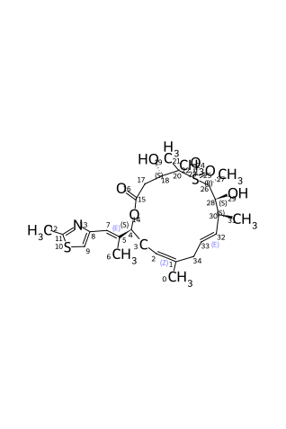 C/C1=C/C[C@@H](/C(C)=C/c2csc(C)n2)OC(=O)C[C@H](O)C(C)(C)S(=O)(=O)[C@H](C)[C@@H](O)[C@@H](C)/C=C/C1